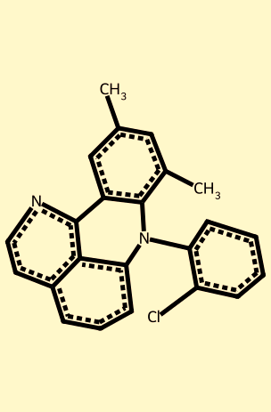 Cc1cc(C)c2c(c1)-c1nccc3cccc(c13)N2c1ccccc1Cl